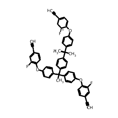 C#CC1=CC=C(Oc2ccc(C(C)(C)c3ccc(C(C)(c4ccc(Oc5ccc(C#C)cc5F)cc4)c4ccc(Oc5ccc(C#C)cc5F)cc4)cc3)cc2)[C@@H](F)C1